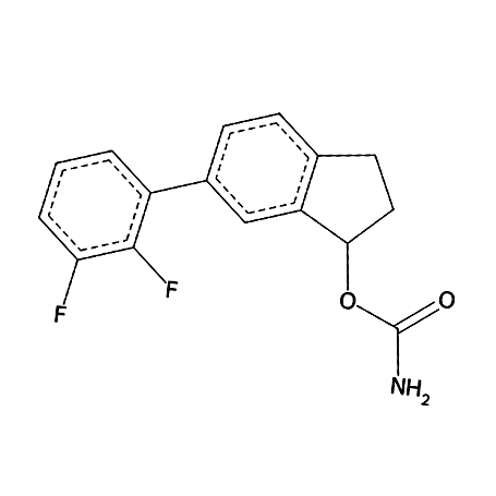 NC(=O)OC1CCc2ccc(-c3cccc(F)c3F)cc21